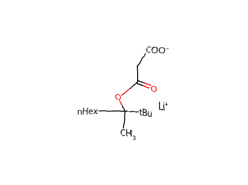 CCCCCCC(C)(OC(=O)CC(=O)[O-])C(C)(C)C.[Li+]